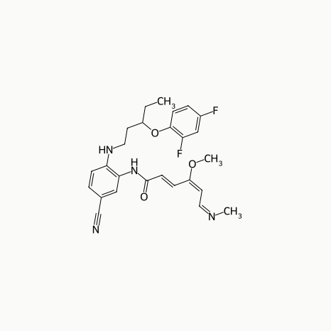 CCC(CCNc1ccc(C#N)cc1NC(=O)/C=C/C(=C\C=N/C)OC)Oc1ccc(F)cc1F